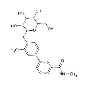 CNC(=O)c1cccc(-c2ccc(CC3OC(CO)C(O)C(O)C3O)c(C)c2)c1